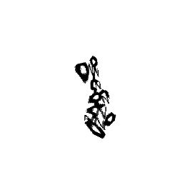 c1ccc(-n2c(-c3ccc(-c4ccc(-c5ccc(-c6nc7ccccc7n6-c6ccccc6)nc5)c5ncccc45)nc3)nc3ccccc32)cc1